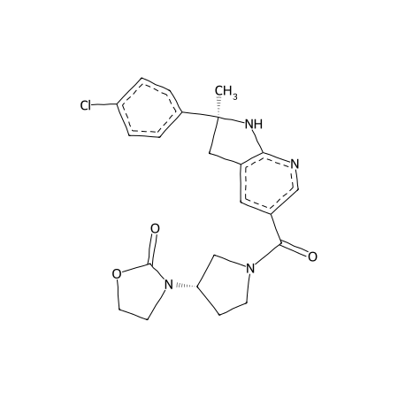 C[C@@]1(c2ccc(Cl)cc2)Cc2cc(C(=O)N3CC[C@H](N4CCOC4=O)C3)cnc2N1